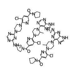 CC1CN(c2nc(N)nc3[nH]cnc23)CCN1c1ncc(C(=O)N2CCCC2)cc1Cl.CC1CN(c2ncc(C(=O)N3CCCC3)cc2Cl)CCN1c1ncnc2[nH]cnc12.Nc1ncnc(N2CCN(c3ncc(C(=O)N4CCCC4)cc3Cl)CC2)n1